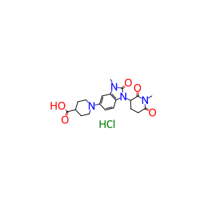 CN1C(=O)CCC(n2c(=O)n(C)c3cc(N4CCC(C(=O)O)CC4)ccc32)C1=O.Cl